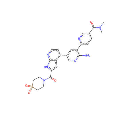 CN(C)C(=O)c1ccc(-c2cc(-c3ccnc4[nH]c(C(=O)N5CCS(=O)(=O)CC5)cc34)cnc2N)nc1